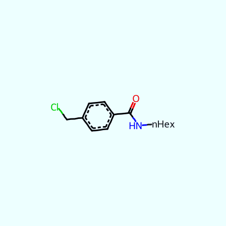 CCCCCCNC(=O)c1ccc(CCl)cc1